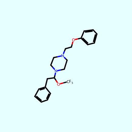 FC(F)(F)OC(Cc1ccccc1)N1CCN(CCOc2ccccc2)CC1